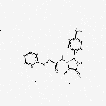 COc1ccc([C@H]2NC(=O)[C@@H](C)[C@@H]2NC(=O)OCc2ccccc2)cc1